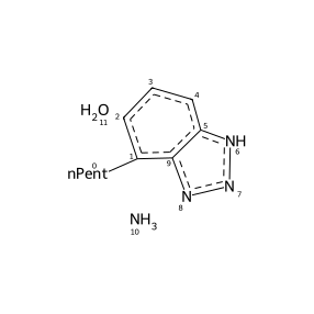 CCCCCc1cccc2[nH]nnc12.N.O